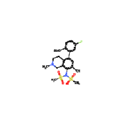 COc1ccc(F)cc1-c1cc(C#N)c(N(S(C)(=O)=O)S(C)(=O)=O)c2c1CCN(C)C2